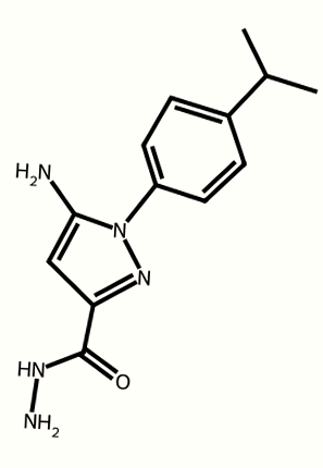 CC(C)c1ccc(-n2nc(C(=O)NN)cc2N)cc1